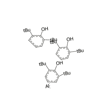 CC(C)(C)c1cccc(C(C)(C)C)c1O.CC(C)(C)c1cccc(C(C)(C)C)c1O.CC(C)(C)c1cccc(C(C)(C)C)c1O.[Al]